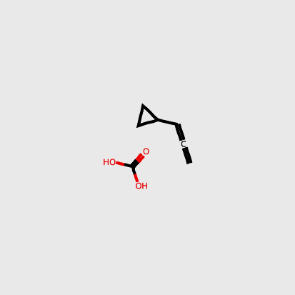 C=C=CC1CC1.O=C(O)O